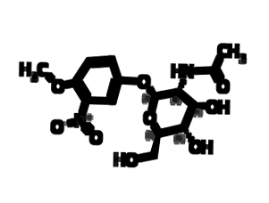 COc1ccc(O[C@@H]2O[C@H](CO)[C@@H](O)[C@H](O)[C@H]2NC(C)=O)cc1[N+](=O)[O-]